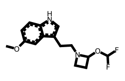 COc1ccc2[nH]cc(CCN3CCC3OC(F)F)c2c1